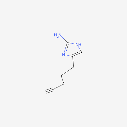 C#CCCCc1c[nH]c(N)n1